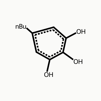 CCCCc1cc(O)c(O)c(O)c1